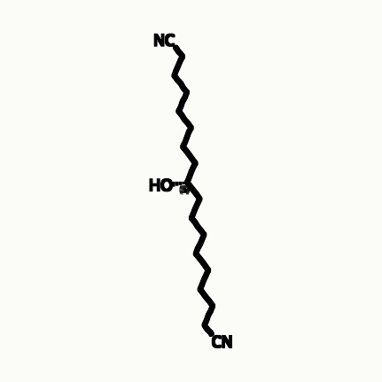 N#CCCCCCCCC[C@H](O)CCCCCCCC#N